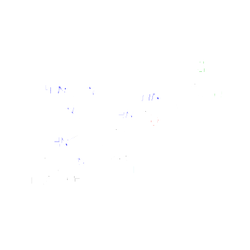 CC(C)(C)c1nc(-c2cc(F)cc(NC(=O)Nc3ccc(Cl)c(Cl)c3)c2)c(-c2ccnc(N)n2)[nH]1